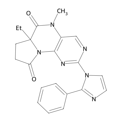 CCC12CCC(=O)N1c1nc(-n3ccnc3-c3ccccc3)ncc1N(C)C2=O